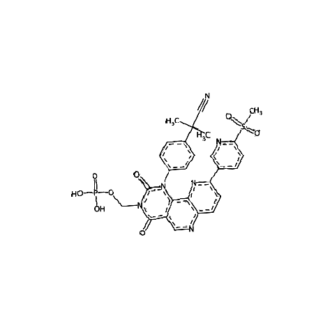 CC(C)(C#N)c1ccc(-n2c(=O)n(COP(=O)(O)O)c(=O)c3cnc4ccc(-c5ccc(S(C)(=O)=O)nc5)nc4c32)cc1